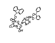 O=C(O)CN(C(=O)Cn1cnc2c(NC(=O)OC(c3ccccc3)c3ccccc3)ncnc21)[C@H]1COC[C@@H]1NC(=O)OCC1c2ccccc2-c2ccccc21